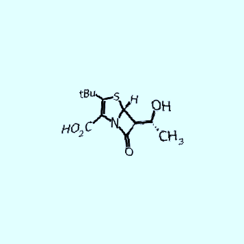 C[C@@H](O)[C@H]1C(=O)N2C(C(=O)O)=C(C(C)(C)C)S[C@H]12